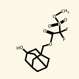 COS(=O)(=O)C(F)(F)C(=O)OCC12CC3CC(CC(O)(C3)C1)C2